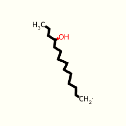 [CH2]CCCCCCCCCC(O)CCC